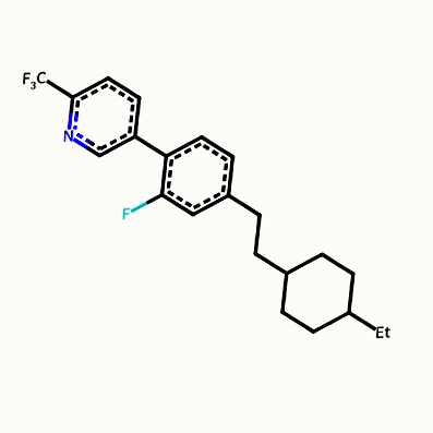 CCC1CCC(CCc2ccc(-c3ccc(C(F)(F)F)nc3)c(F)c2)CC1